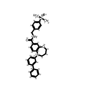 C[SH](C)(=O)c1ccc(CNC(=O)c2ccc3c(c2)OCCCN3c2cccc(-c3ccccc3)c2)cc1